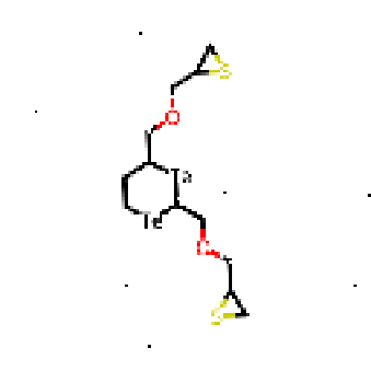 C1CC(COCC2CS2)[Te]C(COCC2CS2)[Te]1